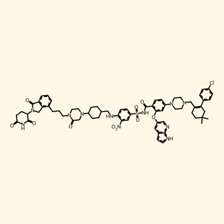 CC1(C)CCC(CN2CCN(c3ccc(C(=O)NS(=O)(=O)c4ccc(NCC5CCC(N6CCN(CCCc7cccc8c7CN(C7CCC(=O)NC7=O)C8=O)C(=O)C6)CC5)c([N+](=O)[O-])c4)c(Oc4cnc5[nH]ccc5c4)c3)CC2)=C(c2ccc(Cl)cc2)C1